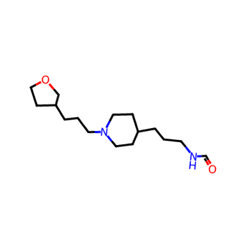 O=CNCCCC1CCN(CCCC2CCOC2)CC1